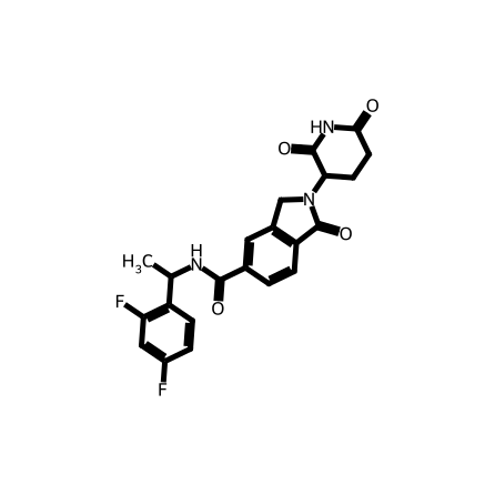 CC(NC(=O)c1ccc2c(c1)CN(C1CCC(=O)NC1=O)C2=O)c1ccc(F)cc1F